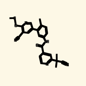 CSOc1ncc(-c2cc(NC(=O)c3ccnc(C(C)(C)C#N)c3)ccc2C)cc1C#N